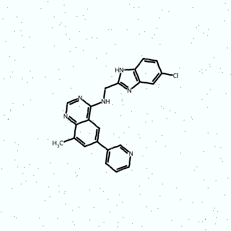 Cc1cc(-c2cccnc2)cc2c(NCc3nc4cc(Cl)ccc4[nH]3)ncnc12